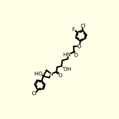 O=C(COc1ccc(Cl)c(F)c1)NCC[C@H](O)CC(=O)N1CC(O)(c2ccc(Cl)cc2)C1